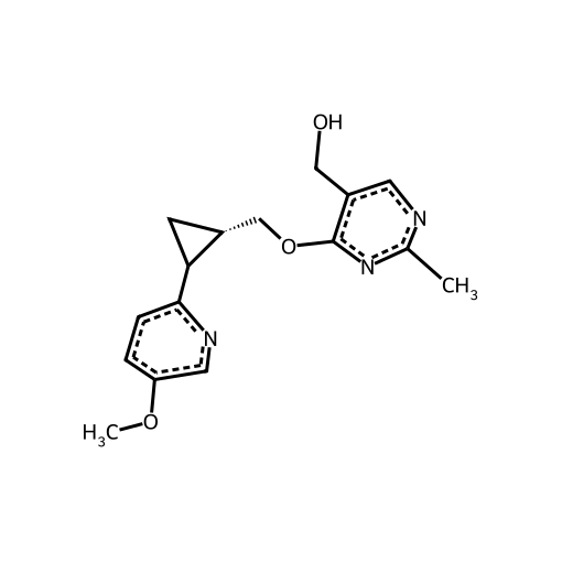 COc1ccc(C2C[C@@H]2COc2nc(C)ncc2CO)nc1